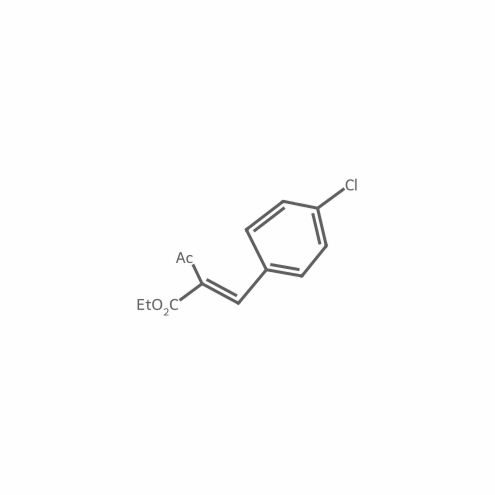 CCOC(=O)/C(=C/c1ccc(Cl)cc1)C(C)=O